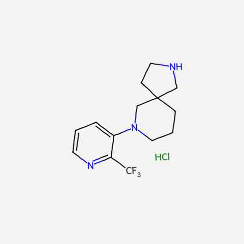 Cl.FC(F)(F)c1ncccc1N1CCCC2(CCNC2)C1